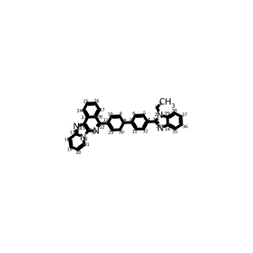 CCn1c(-c2ccc(C3C=CC(c4nc5c(nc6ccccn65)c5ccccc45)=CC3)cc2)nc2ccccc21